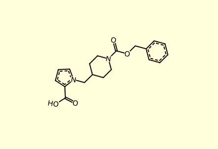 O=C(O)c1cccn1CC1CCN(C(=O)OCc2ccccc2)CC1